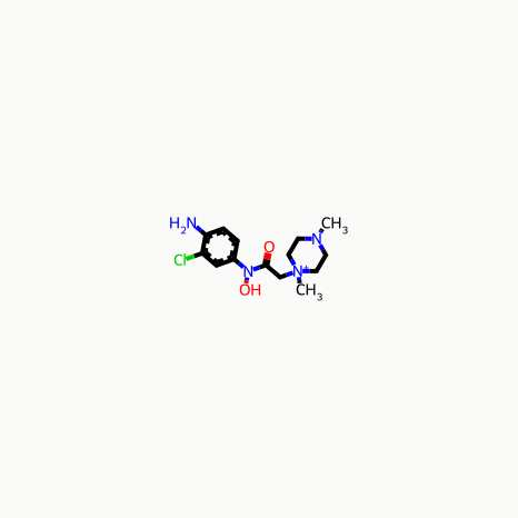 CN1CC[N+](C)(CC(=O)N(O)c2ccc(N)c(Cl)c2)CC1